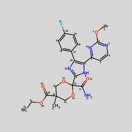 CC(C)Oc1nccc(-c2[nH]c(C3(C(N)=O)OCC(C)(C(=O)OCC#N)CO3)nc2-c2ccc(F)cc2)n1